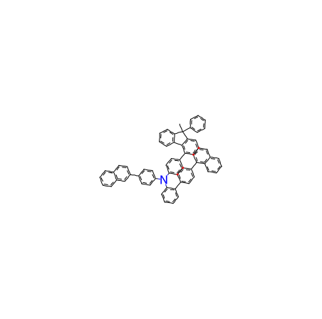 CC1(c2ccccc2)c2ccccc2-c2c(-c3ccc(N(c4ccc(-c5ccc6ccccc6c5)cc4)c4ccccc4-c4ccc(-c5cccc6ccccc56)cc4)cc3)cccc21